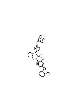 CC1(C)OC[C@@H](Cn2ccc(NC(=O)C(CC3CCCC3)n3ncc(Oc4ccccc4Cl)cc3=O)n2)O1